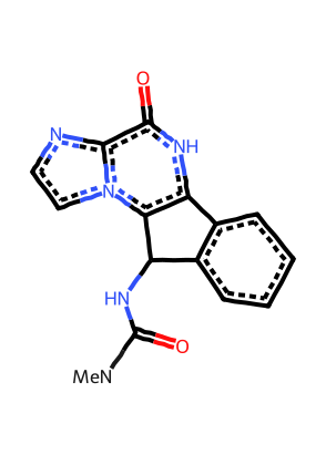 CNC(=O)NC1c2ccccc2-c2[nH]c(=O)c3nccn3c21